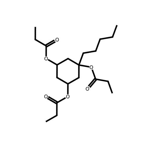 CCCCCC1(OC(=O)CC)CC(OC(=O)CC)CC(OC(=O)CC)C1